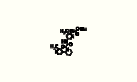 Cc1cc([C@@H]2CCCCN2C(=O)C(=O)Nc2cnc(NC(=O)OC(C)(C)C)c(C)c2)ccn1